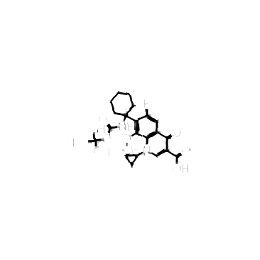 COc1c(C2(NC(=O)OC(C)(C)C)CCCCC2)c(F)cc2c(=O)c(C(=O)O)cn(C3CC3)c12